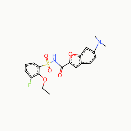 CCOc1c(F)cccc1S(=O)(=O)NC(=O)c1cc2ccc(N(C)C)cc2o1